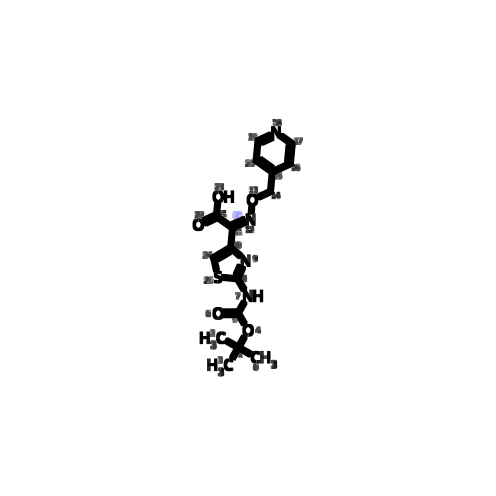 CC(C)(C)OC(=O)Nc1nc(/C(=N/OCc2ccncc2)C(=O)O)cs1